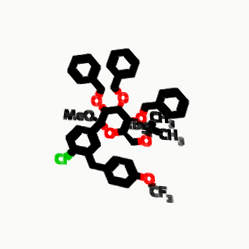 CO[C@@]1(c2ccc(Cl)c(Cc3ccc(OC(F)(F)F)cc3)c2)O[C@H](CO[Si](C)(C)C(C)(C)C)[C@@H](OCc2ccccc2)[C@H](OCc2ccccc2)C1OCc1ccccc1